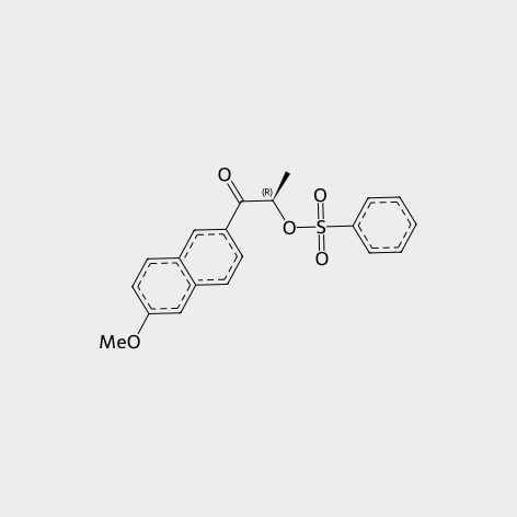 COc1ccc2cc(C(=O)[C@@H](C)OS(=O)(=O)c3ccccc3)ccc2c1